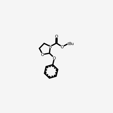 CC(C)(C)OC(=O)N1CCOC1Oc1ccccc1